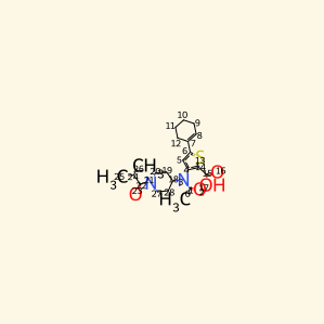 CC(=O)N(c1cc(C2=CCCCC2)sc1C(=O)O)C1CCN(C(=O)C(C)C)CC1